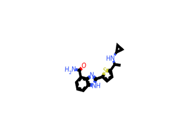 CC(NC1CC1)c1ccc(-c2nc3c(C(N)=O)cccc3[nH]2)s1